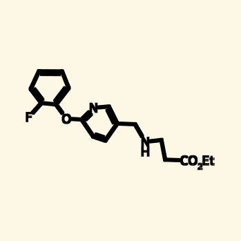 CCOC(=O)CCNCc1ccc(Oc2ccccc2F)nc1